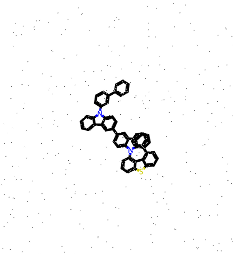 c1ccc(-c2cccc(-n3c4ccccc4c4cc(-c5ccc6c(c5)c5ccccc5n6-c5cccc6sc7cccc(-c8ccccc8)c7c56)ccc43)c2)cc1